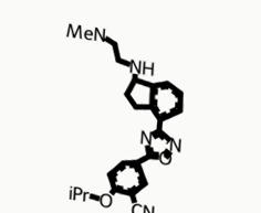 CNCCNC1CCc2c(-c3noc(-c4ccc(OC(C)C)c(C#N)c4)n3)cccc21